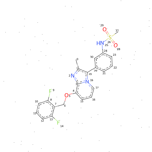 Cc1nc2c(OCc3c(F)cccc3F)cccn2c1-c1cccc(NS(C)(=O)=O)c1